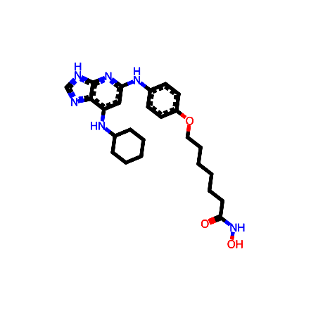 O=C(CCCCCCOc1ccc(Nc2cc(NC3CCCCC3)c3nc[nH]c3n2)cc1)NO